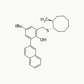 C[C@H]1CCCCCC[C@@H]1SCc1cc(C(C)(C)C)cc(-c2ccc3ccccc3c2)c1O